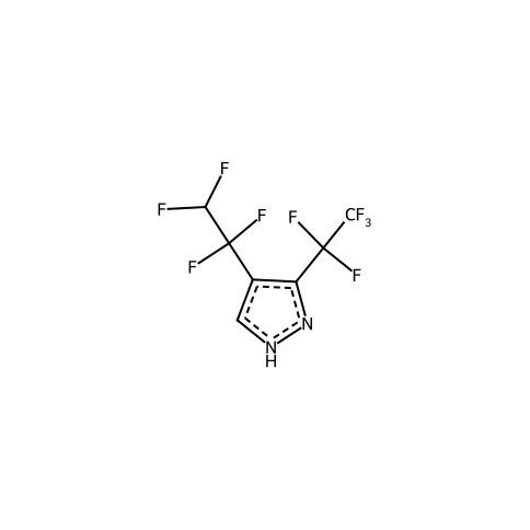 FC(F)C(F)(F)c1c[nH]nc1C(F)(F)C(F)(F)F